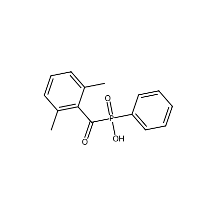 Cc1cccc(C)c1C(=O)P(=O)(O)c1ccccc1